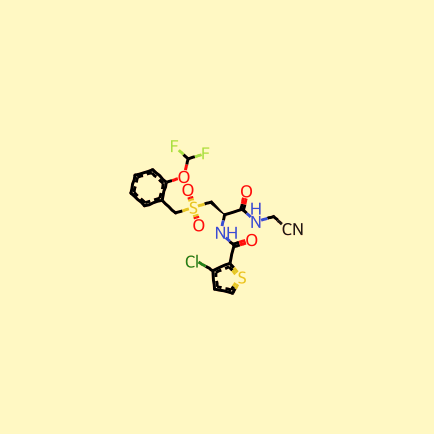 N#CCNC(=O)[C@H](CS(=O)(=O)Cc1ccccc1OC(F)F)NC(=O)c1sccc1Cl